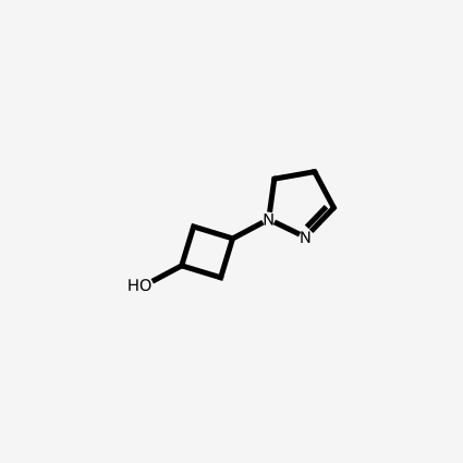 OC1CC(N2CCC=N2)C1